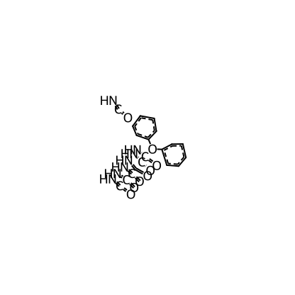 N=C=O.N=C=O.N=C=O.N=C=O.N=C=O.N=C=O.N=C=O.c1ccc(Oc2ccccc2)cc1